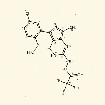 COc1ccc(Cl)cc1-c1nn(C)c2c1CNC(NOC(=O)C(F)(F)F)=N2